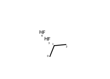 CCC.F.F